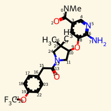 CNC(=O)c1cnc(N)c(OC2CN(C(=O)Cc3ccc(OC(F)(F)F)cc3)CC2(C)C)c1